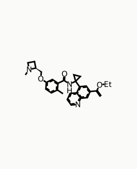 C=C(OCC)c1cc(C2(NC(=O)c3cc(OC[C@@H]4CCN4C)ccc3C)CC2)c2cccnc2c1